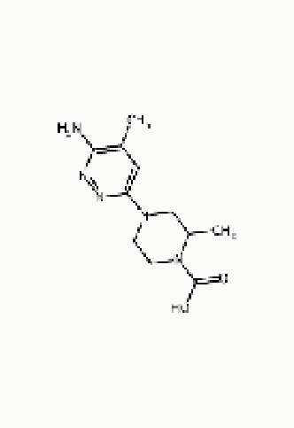 Cc1cc(N2CCN(C(=O)O)C(C)C2)nnc1N